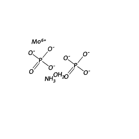 N.O.O=P([O-])([O-])[O-].O=P([O-])([O-])[O-].[Mo+6]